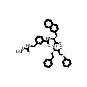 CC(C)(C)OC(=O)NCc1cccc(C(=O)N[C@@H](Cc2ccc3ccccc3c2)C(=O)N[C@@H](CCc2ccccc2)C(=O)COc2ccccc2)c1